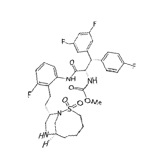 COC(=O)N[C@H](C(=O)Nc1cccc(F)c1CC[C@H]1CN[C@@H]2CCCCS(=O)(=O)N1C2)[C@@H](c1ccc(F)cc1)c1cc(F)cc(F)c1